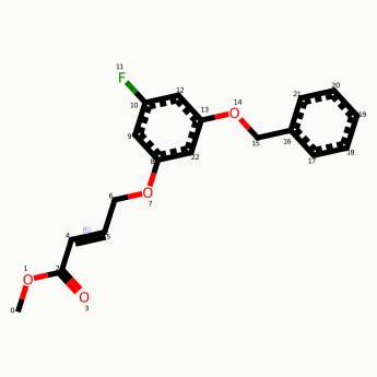 COC(=O)/C=C/COc1cc(F)cc(OCc2ccccc2)c1